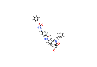 O=C1C[C@@H]2C(=O)N(CCc3ccccc3)Cc3cc(NC(=O)c4ccc(C=NNC(=O)OCc5ccccc5)cc4)ccc3[C@H]2O1